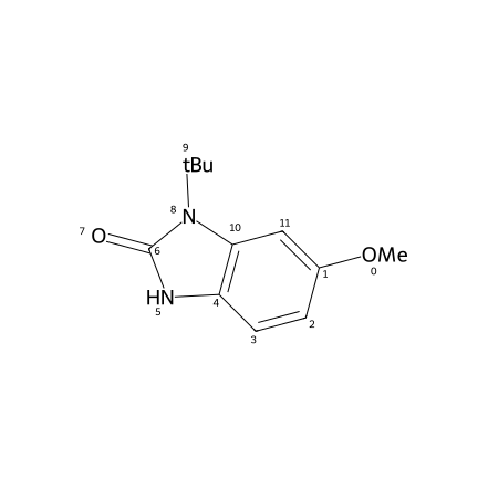 COc1ccc2[nH]c(=O)n(C(C)(C)C)c2c1